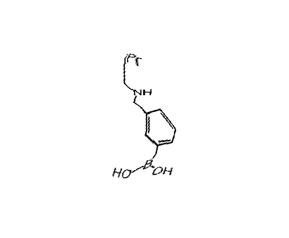 CC(C)CNCc1cccc(B(O)O)c1